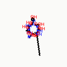 CCCCCCCCCCCCCCCCCC(=O)NC1CC(O)C(OCC[N+](C)(C)C)NC(=O)C2C(O)C(C)CN2C(=O)C(C(C)O)NC(=O)C(C(O)Cc2ccc(O)cc2)NC(=O)C2CC(O)CN2C(=O)C(C(C)O)NC1=O